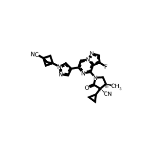 C[C@@H]1CN(c2nc(-c3cnn(C45CC(C#N)(C4)C5)c3)cn3ncc(F)c23)C(=O)[C@]1(C#N)C1CC1